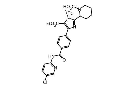 CCOC(=O)c1c(-c2ccc(C(=O)Nc3ccc(Cl)cn3)cc2)nc(C2CCCCN2C(=O)O)n1N